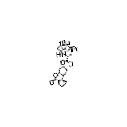 CC(C)C[C@H](NC(=O)OC(C)(C)C)C(=O)Oc1ccc2c(c1)oc(=O)c1ccccc12